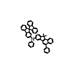 CC1(C)c2ccc(N(c3ccccc3)c3ccc4c(c3)C3(c5ccccc5-c5ccccc53)c3ccccc3-4)cc2-c2cc(-c3ccccc3)c3ccccc3c21